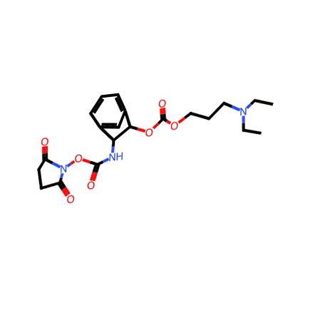 CCN(CC)CCCOC(=O)OC1c2cccc(c2)C1NC(=O)ON1C(=O)CCC1=O